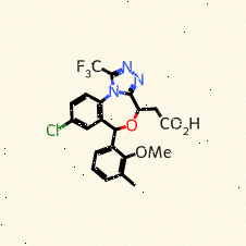 COc1c(C)cccc1C1OC(CC(=O)O)c2nnc(C(F)(F)F)n2-c2ccc(Cl)cc21